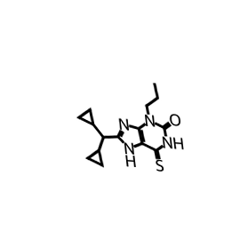 CCCn1c(=O)[nH]c(=S)c2[nH]c(C(C3CC3)C3CC3)nc21